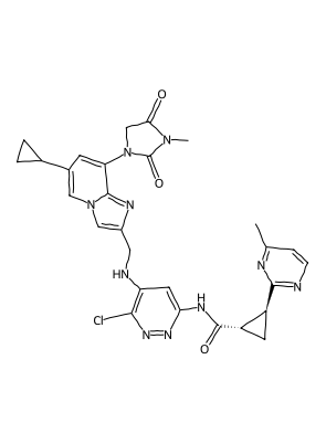 Cc1ccnc([C@H]2C[C@@H]2C(=O)Nc2cc(NCc3cn4cc(C5CC5)cc(N5CC(=O)N(C)C5=O)c4n3)c(Cl)nn2)n1